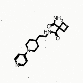 NC(=O)C1(C(=O)NCCC2CCN(c3ccncc3)CC2)CCC1